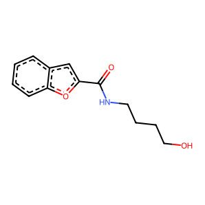 O=C(NCCCCO)c1cc2ccccc2o1